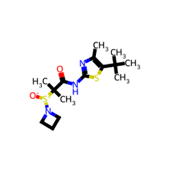 Cc1nc(NC(=O)C(C)(C)[S+]([O-])N2CCC2)sc1C(C)(C)C